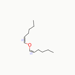 CCCC/C=C\O/C=C\CCCC